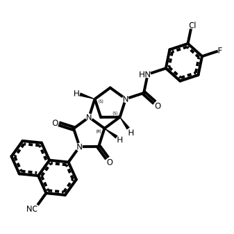 N#Cc1ccc(N2C(=O)[C@H]3[C@@H]4C[C@@H](CN4C(=O)Nc4ccc(F)c(Cl)c4)N3C2=O)c2ccccc12